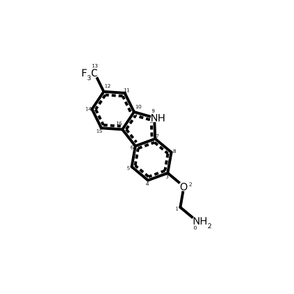 NCOc1ccc2c(c1)[nH]c1cc(C(F)(F)F)ccc12